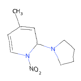 CC1=CC(N2CCCC2)N([N+](=O)[O-])C=C1